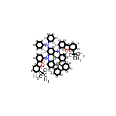 CC(C)(C)c1cccc2c1oc1c(N3c4cc(N(c5ccccc5)c5ccccc5)cc5c4B4c6c3cccc6[Si](c3ccccc3)(c3ccccc3)c3cccc(c34)N5c3cccc4c3oc3c(C(C)(C)C)cccc34)cccc12